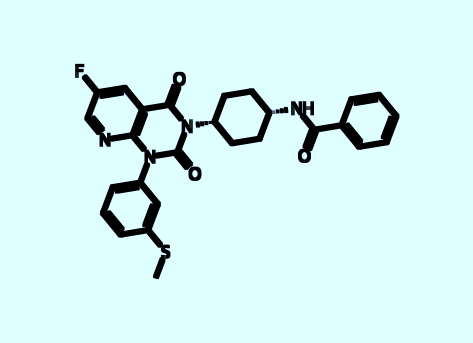 CSc1cccc(-n2c(=O)n([C@H]3CC[C@@H](NC(=O)c4ccccc4)CC3)c(=O)c3cc(F)cnc32)c1